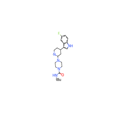 CC(C)(C)NC(=O)N1CCN(C2CC(c3c[nH]c4ccc(F)cc34)CC[N]2)CC1